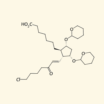 O=C(O)CCCCCC[C@@H]1[C@@H](C=CC(=O)CCCCCl)[C@@H](OC2CCCCO2)C[C@H]1OC1CCCCO1